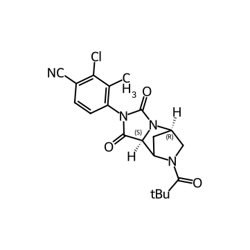 Cc1c(N2C(=O)[C@@H]3C4C[C@H](CN4C(=O)C(C)(C)C)N3C2=O)ccc(C#N)c1Cl